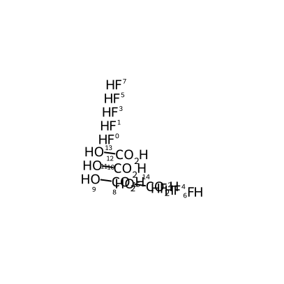 F.F.F.F.F.F.F.F.O=C(O)O.O=C(O)O.O=C(O)O.O=C(O)O